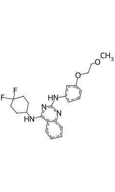 COCCOc1cccc(Nc2nc(NC3CCC(F)(F)CC3)c3ccccc3n2)c1